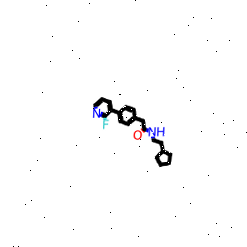 O=C(Cc1ccc(-c2cccnc2F)cc1)NCCC1CCCC1